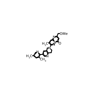 COCc1cc(=O)n2nc(N3CCc4ncc(-c5ncc(C)cc5C)cc4C3)c(C)cc2n1